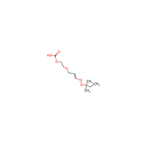 CCC(C)(C)OOC=CCOCCOC(=O)O